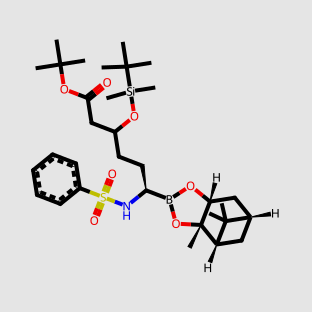 CC(C)(C)OC(=O)CC(CC[C@H](NS(=O)(=O)c1ccccc1)B1O[C@@H]2C[C@@H]3C[C@@H](C3(C)C)[C@]2(C)O1)O[Si](C)(C)C(C)(C)C